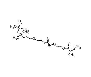 CCC(C)C(=O)OCCONC(=O)OCCOCCC[Si](C)(C)O[Si](C)(C)C